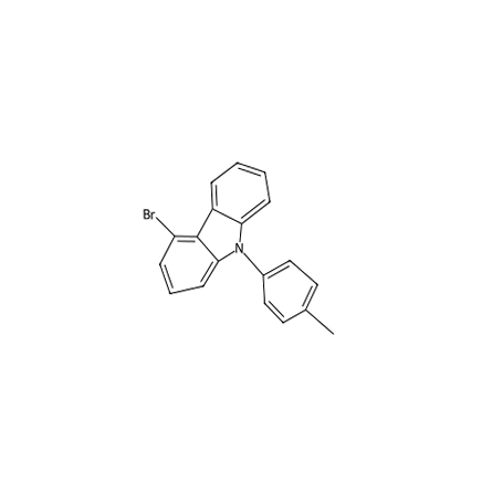 Cc1ccc(-n2c3ccccc3c3c(Br)cccc32)cc1